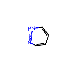 [C]1=CC=CNN=N1